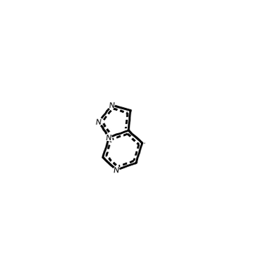 [c]1cncn2nncc12